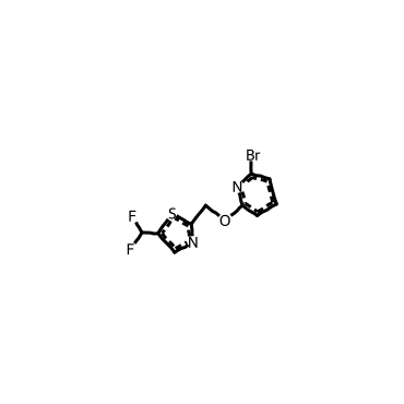 FC(F)c1cnc(COc2cccc(Br)n2)s1